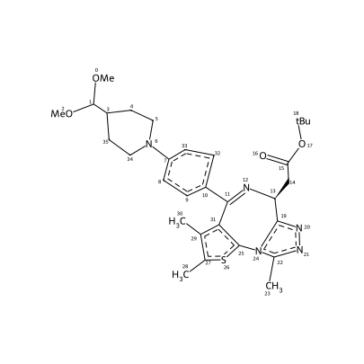 COC(OC)C1CCN(c2ccc(C3=N[C@@H](CC(=O)OC(C)(C)C)c4nnc(C)n4-c4sc(C)c(C)c43)cc2)CC1